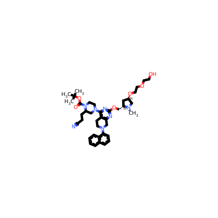 CN1C[C@H](OCCOCCO)C[C@H]1COc1nc2c(c(N3CCN(C(=O)OC(C)(C)C)C(CCC#N)C3)n1)CCN(c1cccc3ccccc13)C2